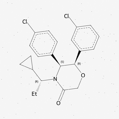 CC[C@H](C1CC1)N1C(=O)CO[C@H](c2cccc(Cl)c2)[C@@H]1c1ccc(Cl)cc1